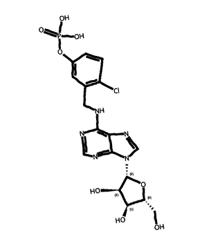 O=P(O)(O)Oc1ccc(Cl)c(CNc2ncnc3c2ncn3[C@@H]2O[C@H](CO)[C@@H](O)[C@H]2O)c1